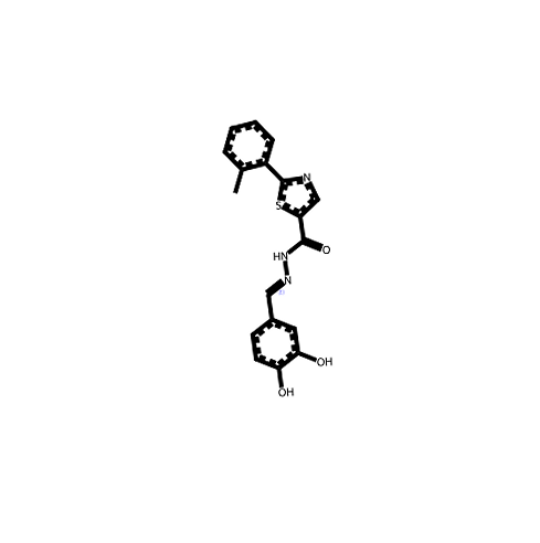 Cc1ccccc1-c1ncc(C(=O)N/N=C/c2ccc(O)c(O)c2)s1